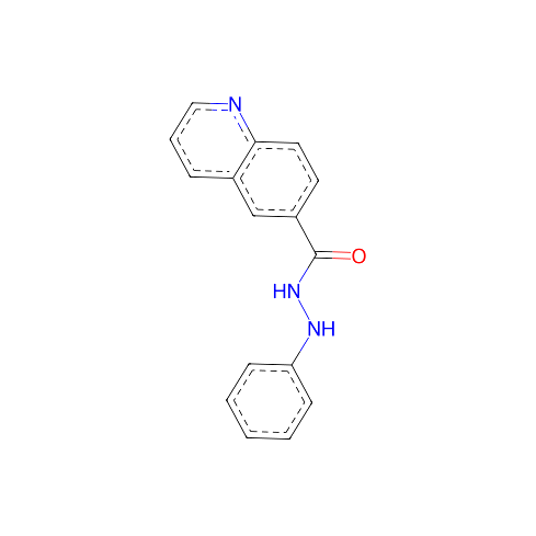 O=C(NNc1ccccc1)c1ccc2ncccc2c1